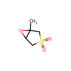 CC12CS(=O)(=O)CC1O2